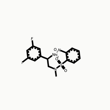 CN(CC(N)c1cc(F)cc(I)c1)S(=O)(=O)c1ccccc1[N+](=O)[O-]